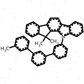 Cc1cccc(-c2cccc(-c3cccc(-n4c5ccccc5c5ccc6c(c54)C(C)(C)c4ccccc4-6)c3)c2)c1